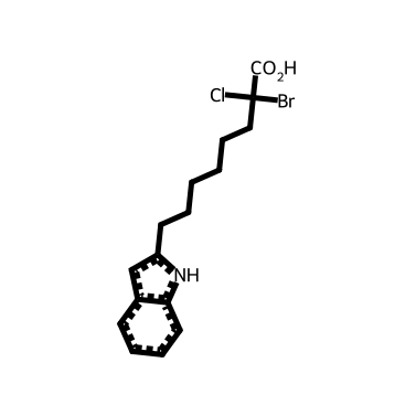 O=C(O)C(Cl)(Br)CCCCCCc1cc2ccccc2[nH]1